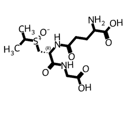 CC(C)[S+]([O-])C[C@H](NC(=O)CCC(N)C(=O)O)C(=O)NCC(=O)O